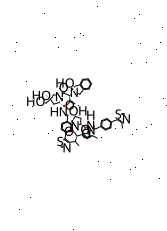 Cc1cc([C@H](C(=O)N2C[C@H](O)C[C@H]2C(=O)NCc2ccc(-c3scnc3C)cc2)C(C)c2ncsc2-c2ccc(CNC(=O)[C@@H]3C[C@@](O)(CO)CN3C(=O)[C@H](C(C)C)N3Cc4ccccc4C3O)cc2)on1